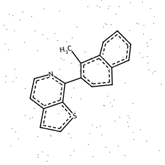 Cc1c(-c2nccc3ccsc23)ccc2ccccc12